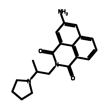 CC(CN1C(=O)c2cccc3cc(N)cc(c23)C1=O)N1CCCC1